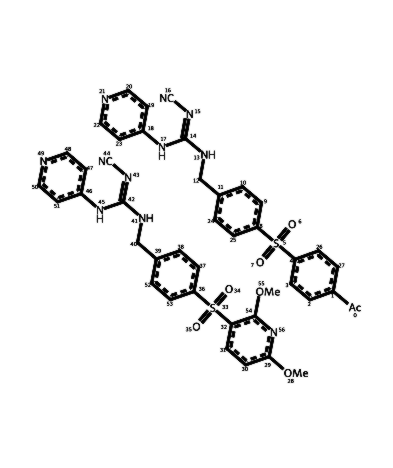 CC(=O)c1ccc(S(=O)(=O)c2ccc(CNC(=NC#N)Nc3ccncc3)cc2)cc1.COc1ccc(S(=O)(=O)c2ccc(CNC(=NC#N)Nc3ccncc3)cc2)c(OC)n1